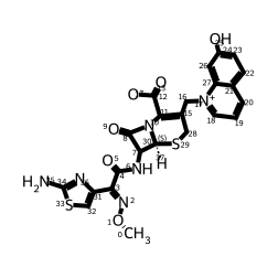 CON=C(C(=O)NC1C(=O)N2C(C(=O)[O-])=C(C[n+]3cccc4ccc(O)cc43)CS[C@@H]12)c1csc(N)n1